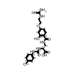 N=C(N)NCCOc1ccc(C(=O)NC[C@H](NC(=O)Nc2ccc(Cl)cc2)C(=O)O)c(O)c1